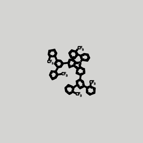 FC(F)(F)c1ccccc1-c1cc(-c2ccc3c(c2)c2cc(-c4cc(-c5ccccc5C(F)(F)F)cc(-c5ccccc5C(F)(F)F)c4)ccc2n3-c2ccccc2-c2ccccc2C(F)(F)F)cc(-c2ccccc2C(F)(F)F)c1